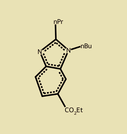 CCCCn1c(CCC)nc2ccc(C(=O)OCC)cc21